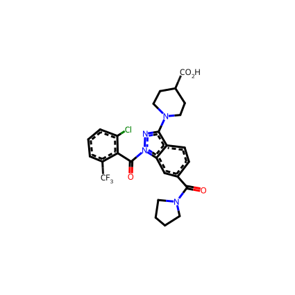 O=C(O)C1CCN(c2nn(C(=O)c3c(Cl)cccc3C(F)(F)F)c3cc(C(=O)N4CCCC4)ccc23)CC1